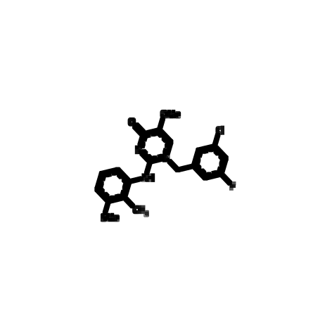 COc1cn(Cc2cc(F)cc(Cl)c2)c(Nc2cccc(SC)c2C)nc1=O